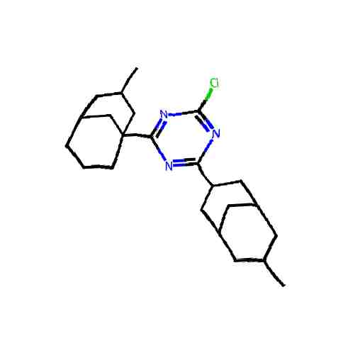 CC1CC2CC(C1)CC(c1nc(Cl)nc(C34CCCC(CC(C)C3)C4)n1)C2